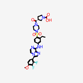 CCc1cc(Nc2nccn3c(-c4ccc(OC)c(F)c4F)cnc23)ccc1S(=O)(=O)N1CCN(C(=O)[C@@H]2CCN(C(=O)O)C2)CC1